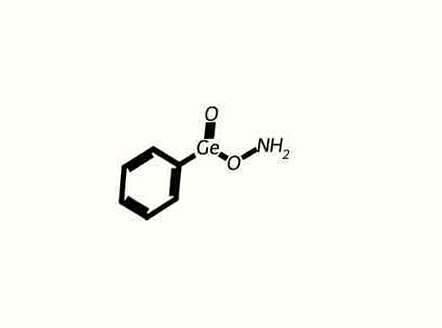 N[O][Ge](=[O])[c]1ccccc1